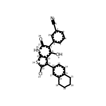 N#Cc1cccc(-c2c(O)c3c(-c4ccc5c(c4)CCCC5)c(Cl)sc3[nH]c2=O)c1